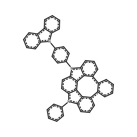 c1ccc(-n2c3cccc4c5ccccc5c5cccc6c5c5c(c43)c2ccc5n6-c2ccc(-n3c4ccccc4c4ccccc43)cc2)cc1